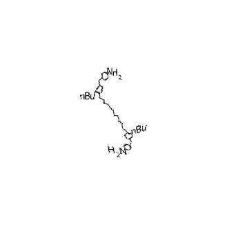 CCCCc1cc(Cc2ccc(N)cc2)ccc1CCCCCCCCCCCCc1ccc(Cc2ccc(N)cc2)cc1CCCC